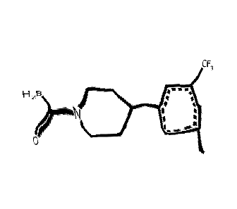 BC(=O)N1CCC(c2cc(C)cc(C(F)(F)F)c2)CC1